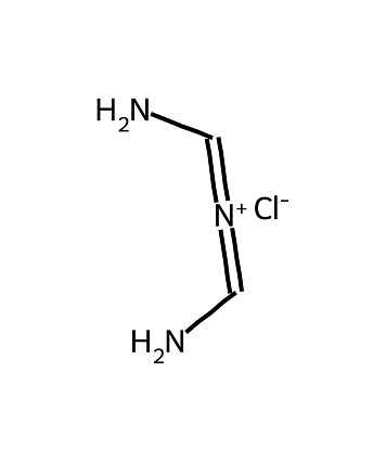 NC=[N+]=CN.[Cl-]